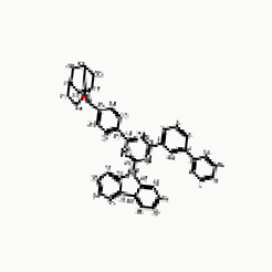 c1ccc(-c2cccc(-c3nc(-c4ccc(N5C6CC7CC(C6)CC5C7)cc4)nc(-n4c5ccccc5c5ccccc54)n3)c2)cc1